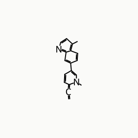 C=C=C1C=CC(c2ccc3c(C)ccnc3c2)=CN1C